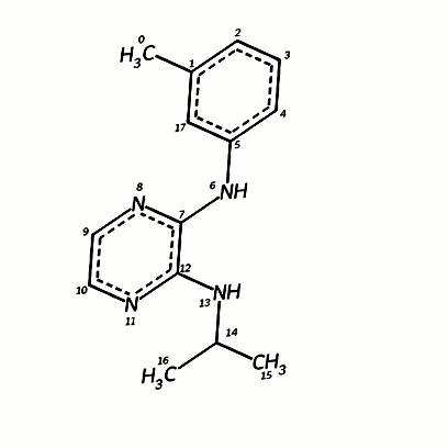 Cc1cccc(Nc2nccnc2NC(C)C)c1